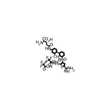 CSc1sc(C(=N)N)cc1S(=O)(=O)c1cccc(-c2ccc(NC(=O)CCC(N)C(=O)O)cc2C)c1.O=C(O)C(F)(F)F.O=C(O)C(F)(F)F